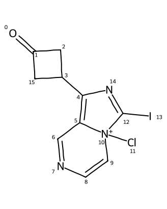 O=C1CC(C2=C3C=NC=C[N+]3(Cl)C(I)=N2)C1